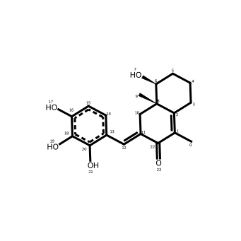 CC1=C2CCC[C@H](O)[C@@]2(C)C/C(=C\c2ccc(O)c(O)c2O)C1=O